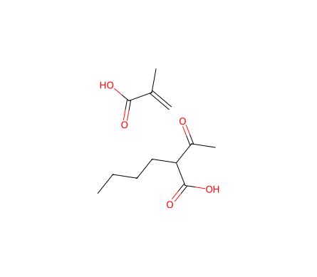 C=C(C)C(=O)O.CCCCC(C(C)=O)C(=O)O